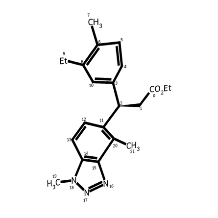 CCOC(=O)C[C@H](c1ccc(C)c(CC)c1)c1ccc2c(nnn2C)c1C